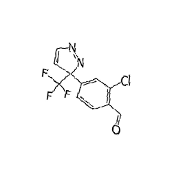 O=Cc1ccc(C2(C(F)(F)F)C=CN=N2)cc1Cl